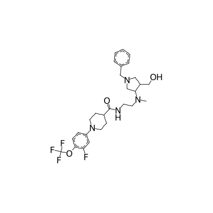 CN(CCNC(=O)C1CCN(c2ccc(OC(F)(F)F)c(F)c2)CC1)C1CN(Cc2ccccc2)CC1CO